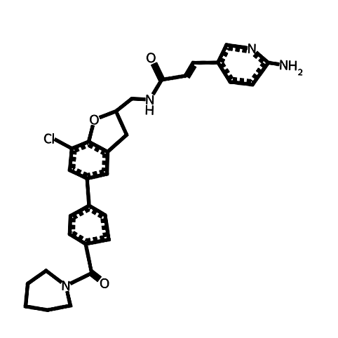 Nc1ccc(/C=C/C(=O)NCC2Cc3cc(-c4ccc(C(=O)N5CCCCC5)cc4)cc(Cl)c3O2)cn1